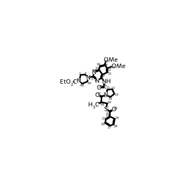 CCOC(=O)N1CCN(c2nc(NC(=O)[C@@H]3CCCN3C(=O)C(C)CSC(=O)c3ccccc3)c3cc(OC)c(OC)cc3n2)CC1